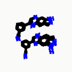 N#Cc1cccc(-c2cnc3cc4[nH]ncc4cc3n2)c1.N#Cc1cccc(-c2cnc3cc4cn[nH]c4cc3n2)c1